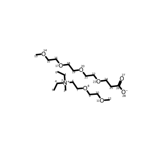 CC[N+](C)(CC)CCOCCOC.COCCOCCOCCOCCC(=O)[O-]